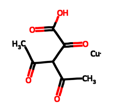 CC(=O)C(C(C)=O)C(=O)C(=O)O.[Cu]